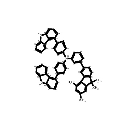 Cc1cc(C)c2c(c1)C(C)(C)c1ccc(-c3cccc(N(c4ccc(-c5cccc6oc7ccccc7c56)cc4)c4ccc(-c5cccc6oc7ccccc7c56)cc4)c3)cc1-2